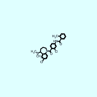 Cc1ccccc1C(=O)Nc1ccc(C(=O)N2CCCC(N(C)C)c3cc(Cl)ccc32)c(Cl)c1